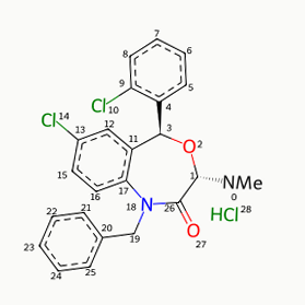 CN[C@H]1O[C@H](c2ccccc2Cl)c2cc(Cl)ccc2N(Cc2ccccc2)C1=O.Cl